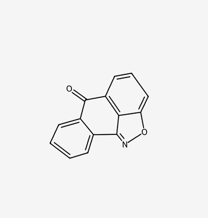 O=C1c2ccccc2-c2noc3cccc1c23